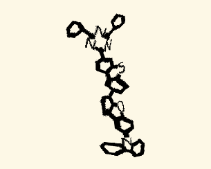 c1ccc(-c2nc(-c3ccccc3)nc(-c3ccc4c(c3)sc3ccc(-c5cccc6c5oc5ccc(-n7c8ccccc8c8ccccc87)cc56)cc34)n2)cc1